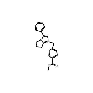 COC(=O)c1ccc(C[n+]2cc(-c3ccccc3)n3c2CCC3)cc1